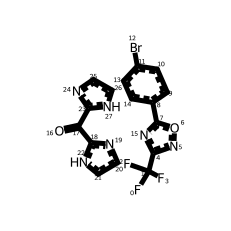 FC(F)(F)c1noc(-c2ccc(Br)cc2)n1.O=C(c1ncc[nH]1)c1ncc[nH]1